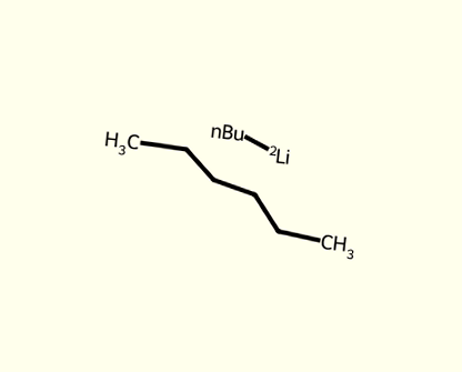 CCCCCC.[2Li][CH2]CCC